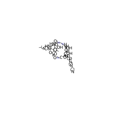 C/C1=C/C=C/[C@H](C)[C@H](O)C[C@@H](O)C[C@H](OC(=O)CC(=O)N2CCN(C3CCN(C)CC3)CC2)CC/C=C/O[C@@]2(C)Oc3c(C)c(O)c4c(c3C2=O)C2=NC3(CCN(CC(C)C)CC3)NC2=C(NC1=O)C4=O